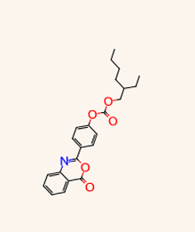 CCCCC(CC)COC(=O)Oc1ccc(-c2nc3ccccc3c(=O)o2)cc1